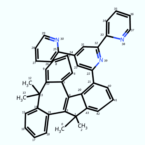 CC1(C)C2=C(c3ccccc3C(C)(C)c3ccccc32)c2c(-c3cc(-c4ccccn4)cc(-c4ccccn4)n3)cccc21